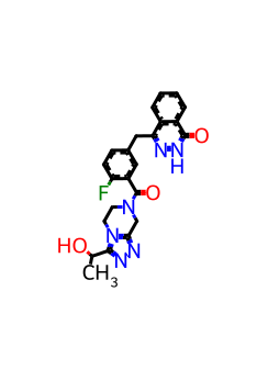 CC(O)c1nnc2n1CCN(C(=O)c1cc(Cc3n[nH]c(=O)c4ccccc34)ccc1F)C2